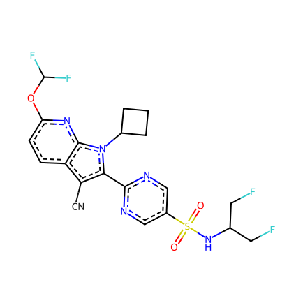 N#Cc1c(-c2ncc(S(=O)(=O)NC(CF)CF)cn2)n(C2CCC2)c2nc(OC(F)F)ccc12